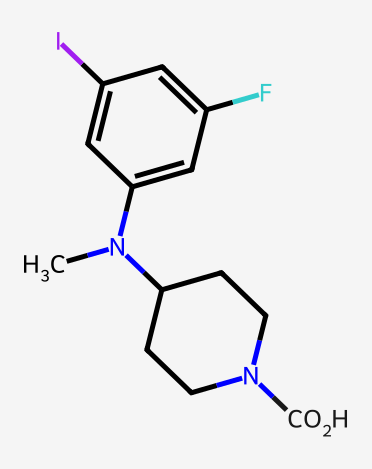 CN(c1cc(F)cc(I)c1)C1CCN(C(=O)O)CC1